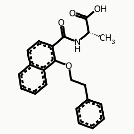 C[C@H](NC(=O)c1ccc2ccccc2c1OCCc1ccccc1)C(=O)O